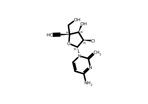 C#C[C@]1(CO)O[C@@H](N2C=CC(N)=NC2=C)[C@H](Cl)[C@@H]1O